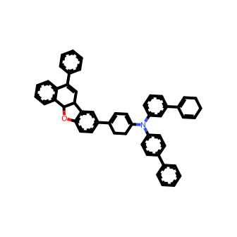 C1=CC(c2cccc(N(C3=CC=C(c4ccc5c(c4)C4C=C(c6ccccc6)c6ccccc6C4O5)CC3)c3ccc(-c4ccccc4)cc3)c2)=CCC1